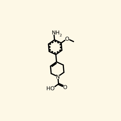 COc1cc(C2=CCN(C(=O)O)CC2)ccc1N